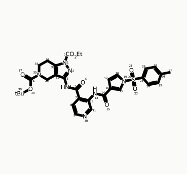 CCOC(=O)n1nc(NC(=O)c2ccncc2NC(=O)c2ccn(S(=O)(=O)c3ccc(C)cc3)c2)c2c1CCN(C(=O)OC(C)(C)C)C2